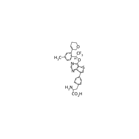 Cc1ccc([C@@H](Oc2ncnc3c(-c4ccc(CC(N)C(=O)O)cc4)csc23)C(F)(F)F)c(C2=CCCOC2)c1